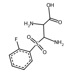 NC(C(=O)O)C(N)S(=O)(=O)c1ccccc1F